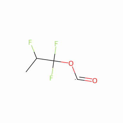 CC(F)C(F)(F)O[C]=O